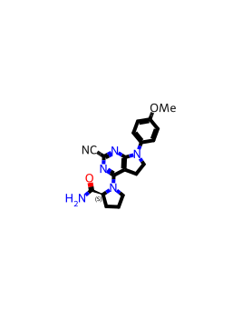 COc1ccc(N2CCc3c2nc(C#N)nc3N2CCC[C@H]2C(N)=O)cc1